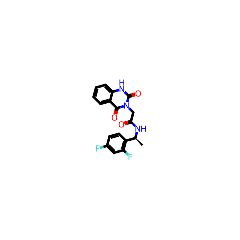 C[C@H](NC(=O)Cn1c(=O)[nH]c2ccccc2c1=O)c1ccc(F)cc1F